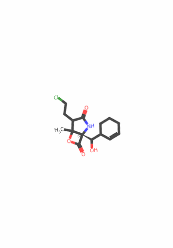 CC12OC(=O)[C@@]1(C(O)C1C=CCCC1)NC(=O)C2CCCl